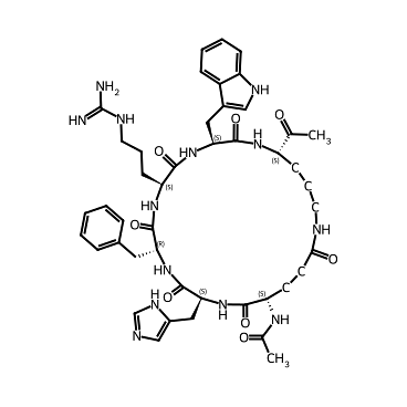 CC(=O)N[C@H]1CCC(=O)NCCC[C@@H](C(C)=O)NC(=O)[C@H](Cc2c[nH]c3ccccc23)NC(=O)[C@H](CCCNC(=N)N)NC(=O)[C@@H](Cc2ccccc2)NC(=O)[C@H](Cc2cnc[nH]2)NC1=O